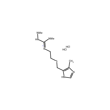 CNN/C(=N/CCSCc1[nH]cnc1C)NC.Cl.Cl